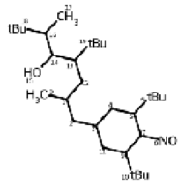 CC(CC1CC(C(C)(C)C)C(N=O)C(C(C)(C)C)C1)CC(C(O)C(C)C(C)(C)C)C(C)(C)C